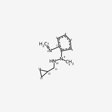 C=Nc1ccccc1N(C)NCC1CC1